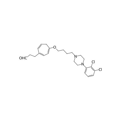 O=CCCC1=CC=C(OCCCCN2CCN(c3cccc(Cl)c3Cl)CC2)CC=C1